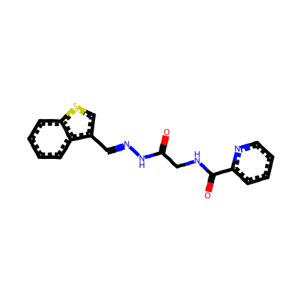 O=C(CNC(=O)c1ccccn1)N/N=C/c1csc2ccccc12